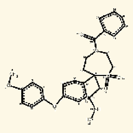 COc1ccc(Oc2ccc(C3(CC(=O)NO)CCN(C(=O)c4ccccc4)CCS3(=O)=O)cc2)cc1